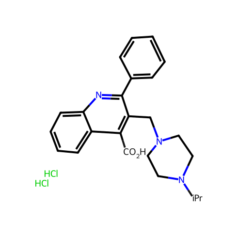 CC(C)N1CCN(Cc2c(-c3ccccc3)nc3ccccc3c2C(=O)O)CC1.Cl.Cl